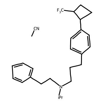 CC#N.CC(C)N(CCCc1ccc(C2CCC2C(F)(F)F)cc1)CCc1ccccc1